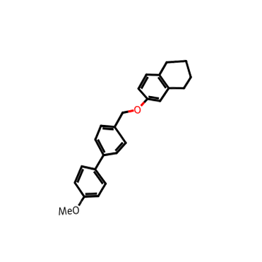 COc1ccc(-c2ccc(COc3ccc4c(c3)CCCC4)cc2)cc1